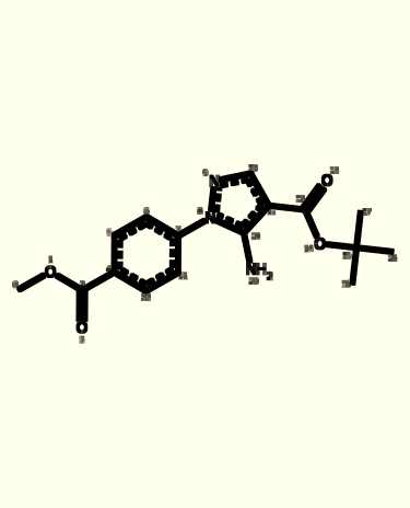 COC(=O)c1ccc(-n2ncc(C(=O)OC(C)(C)C)c2N)cc1